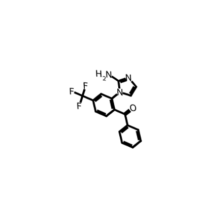 Nc1nccn1-c1cc(C(F)(F)F)ccc1C(=O)c1ccccc1